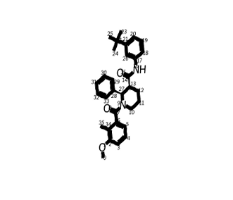 COc1cccc(C(=O)N2CCC[C@H](C(=O)Nc3cccc(C(C)(C)C)c3)[C@@H]2c2ccccc2)c1C